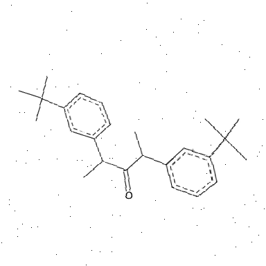 CC(C(=O)C(C)c1cccc(C(C)(C)C)c1)c1cccc(C(C)(C)C)c1